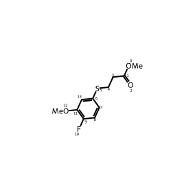 COC(=O)CCSc1ccc(F)c(OC)c1